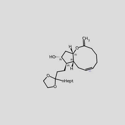 C=C1CCC/C=C\C[C@@H]2[C@@H](CCC3(CCCCCCC)OCCO3)[C@H](O)C[C@@H]2O1